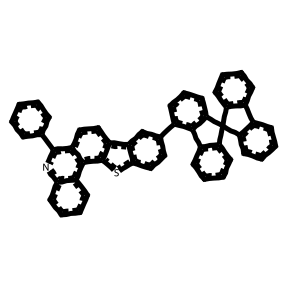 c1ccc(-c2nc3ccccc3c3c2ccc2c4cc(-c5cccc6c5-c5ccccc5C65c6ccccc6-c6ccccc65)ccc4sc23)cc1